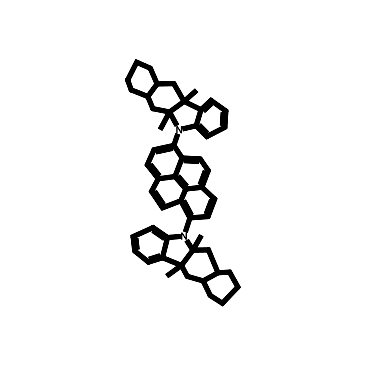 CC12CC3CCCCC3CC1(C)N(c1ccc3ccc4c(N5c6ccccc6C6(C)CC7CCCCC7CC56C)ccc5ccc1c3c54)c1ccccc12